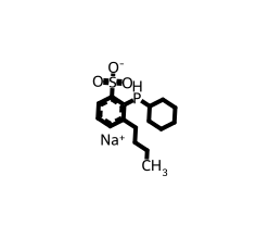 CCCCc1cccc(S(=O)(=O)[O-])c1PC1CCCCC1.[Na+]